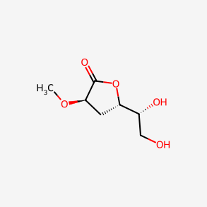 CO[C@@H]1C[C@@H]([C@H](O)CO)OC1=O